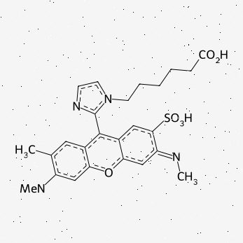 C/N=c1\cc2oc3cc(NC)c(C)cc3c(-c3nccn3CCCCCC(=O)O)c-2cc1S(=O)(=O)O